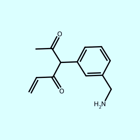 C=CC(=O)C(C(C)=O)c1cccc(CN)c1